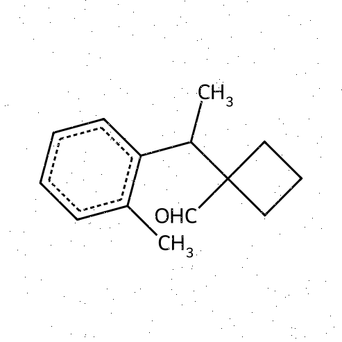 Cc1ccccc1C(C)C1(C=O)CCC1